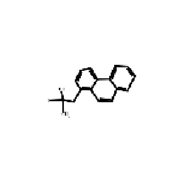 CC(C)(I)Cc1cccc2c1ccc1ccccc12